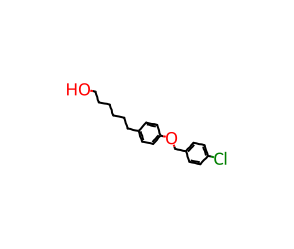 OCCCCCCc1ccc(OCc2ccc(Cl)cc2)cc1